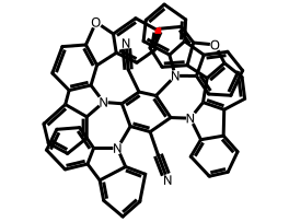 N#Cc1c(-n2c3ccccc3c3ccccc32)c(-n2c3ccccc3c3ccc4oc5ccccc5c4c32)c(C#N)c(-n2c3ccccc3c3ccccc32)c1-n1c2ccccc2c2ccc3oc4ccccc4c3c21